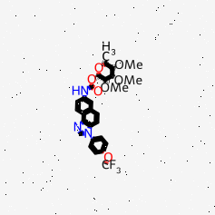 COC1[C@@H](OC)[C@H](OC(=O)Nc2ccc3c(ccc4c3ncn4-c3ccc(OC(F)(F)F)cc3)c2)O[C@@H](C)[C@@H]1OC